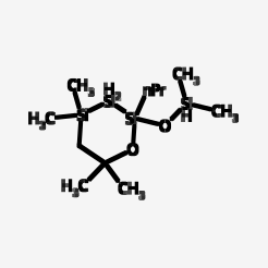 CCC[Si]1(O[SiH](C)C)OC(C)(C)C[Si](C)(C)[SiH2]1